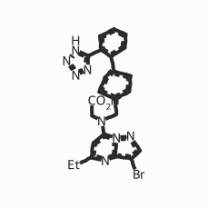 CCc1cc(N(CC(=O)O)Cc2ccc(-c3ccccc3-c3nnn[nH]3)cc2)n2ncc(Br)c2n1